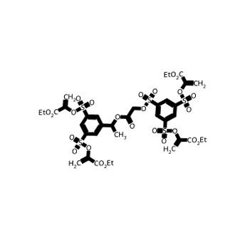 C=C(OS(=O)(=O)c1cc(C(C)OC(=O)COS(=O)(=O)c2cc(S(=O)(=O)OC(=C)C(=O)OCC)cc(S(=O)(=O)OC(=C)C(=O)OCC)c2)cc(S(=O)(=O)OC(=C)C(=O)OCC)c1)C(=O)OCC